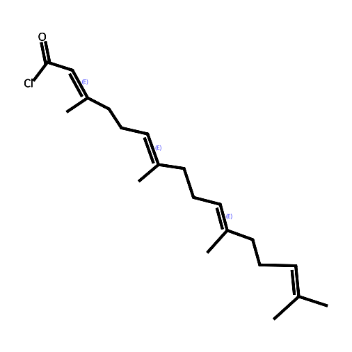 CC(C)=CCC/C(C)=C/CC/C(C)=C/CC/C(C)=C/C(=O)Cl